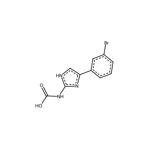 O=C(O)Nc1nc(-c2cccc(Br)c2)c[nH]1